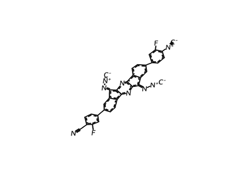 [C-]#[N+]/N=c1/c2cc(-c3ccc(C#N)c(F)c3)ccc2c2nc3/c(=N/[N+]#[C-])c4cc(-c5ccc([N+]#[C-])c(F)c5)ccc4c3nc12